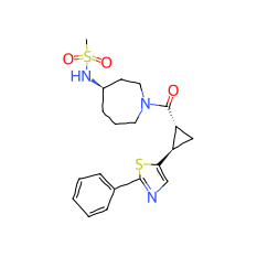 CS(=O)(=O)N[C@@H]1CCCN(C(=O)[C@@H]2C[C@H]2c2cnc(-c3ccccc3)s2)CC1